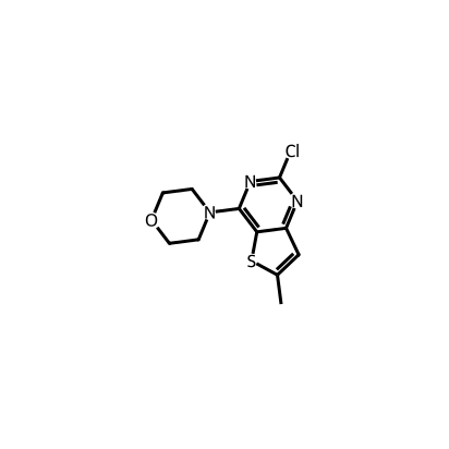 Cc1cc2nc(Cl)nc(N3CCOCC3)c2s1